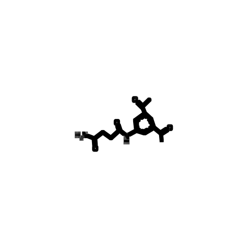 CC(=O)c1cc(NC(=O)CCC(N)=O)cc(C(C)=O)c1